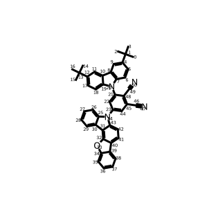 CC(C)(C)c1ccc2c(c1)c1cc(C(C)(C)C)ccc1n2-c1cc(-n2c3ccccc3c3c4oc5ccccc5c4ccc32)cc(C#N)c1C#N